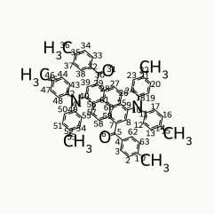 Cc1ccc(C(=O)c2cc(N(c3ccc(C)cc3)c3ccc(C)cc3)c3ccc4c(C(=O)c5ccc(C)cc5)cc(N(c5ccc(C)cc5)c5ccc(C)cc5)c5ccc2c3c45)cc1